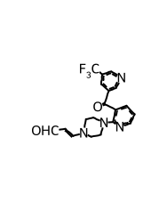 O=CC=CN1CCN(c2ncccc2C(=O)c2cncc(C(F)(F)F)c2)CC1